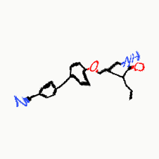 C=CCC1C(=O)NCC1COc1ccc(-c2ccc(C#N)cc2)cc1